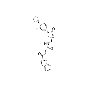 O=C(CCC(=O)c1ccc2ccccc2c1)NC[C@H]1CN(c2ccc(N3CCCC3)c(F)c2)C(=O)O1